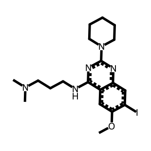 COc1cc2c(NCCCN(C)C)nc(N3CCCCC3)nc2cc1I